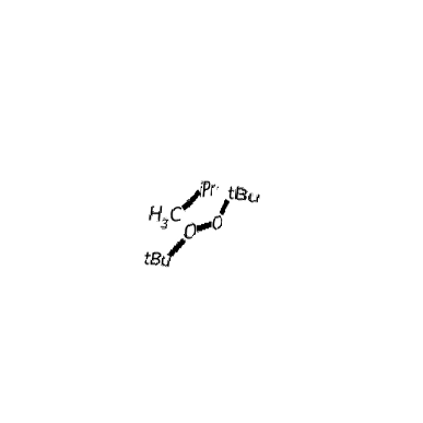 CC(C)(C)OOC(C)(C)C.C[C](C)C